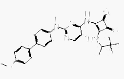 COc1ccc(-c2ccc(Nc3nccc(Nc4c(NC(C)C(C)(C)C)c(=O)c4=O)n3)cc2)cc1